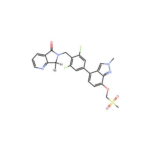 [2H]C1([2H])c2ncccc2C(=O)N1Cc1c(F)cc(-c2ccc(OCS(C)(=O)=O)c3nn(C)cc23)cc1F